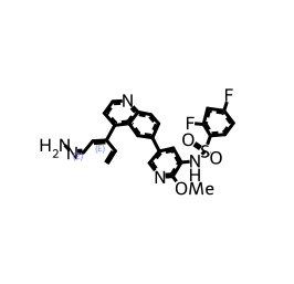 C=C/C(=C\C=N/N)c1ccnc2ccc(-c3cnc(OC)c(NS(=O)(=O)c4ccc(F)cc4F)c3)cc12